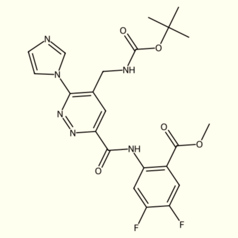 COC(=O)c1cc(F)c(F)cc1NC(=O)c1cc(CNC(=O)OC(C)(C)C)c(-n2ccnc2)nn1